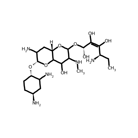 CC[C@@H](N)/C(O)=C(/O)[C@H](O)OC1O[C@H]2CC(N)[C@@H](O[C@H]3CC[C@H](N)CC3N)OC2C(O)C1NC